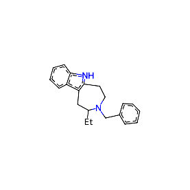 CCC1Cc2c([nH]c3ccccc23)CCN1Cc1ccccc1